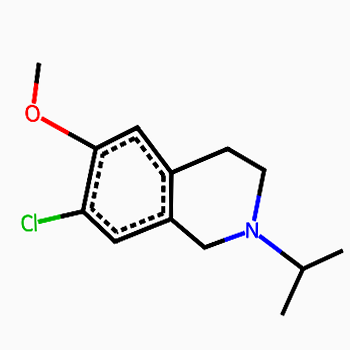 COc1cc2c(cc1Cl)CN(C(C)C)CC2